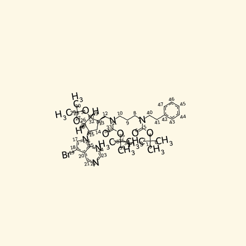 CC(C)(C)OC(=O)N(CCCN(C[C@H]1C[C@@H](n2cc(Br)c3cncnc32)[C@@H]2OC(C)(C)O[C@H]12)C(=O)OC(C)(C)C)CCc1ccccc1